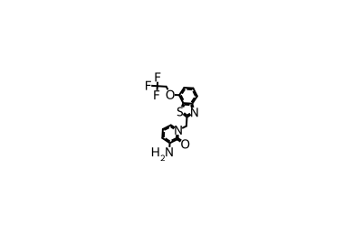 Nc1cccn(Cc2nc3cccc(OCC(F)(F)F)c3s2)c1=O